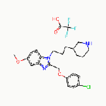 COc1ccc2c(c1)nc(COc1ccc(Cl)cc1)n2CCCC1CCCNC1.O=C(O)C(F)(F)F